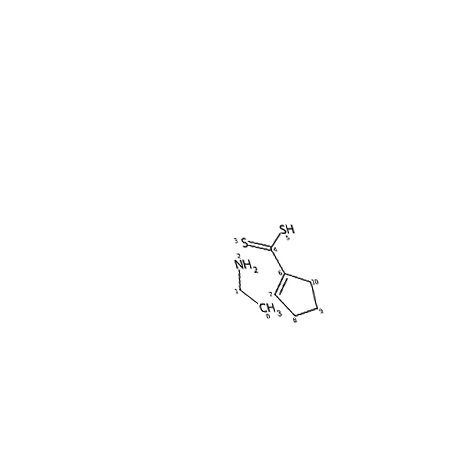 CCN.S=C(S)C1=CCCC1